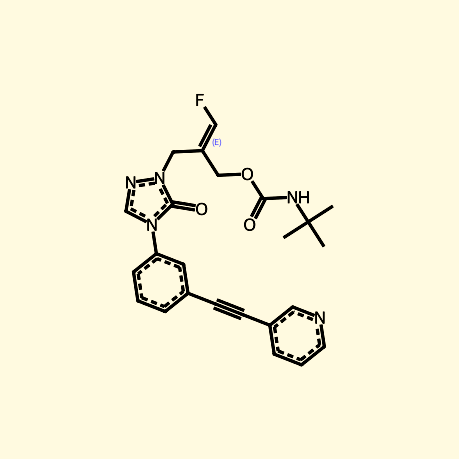 CC(C)(C)NC(=O)OC/C(=C/F)Cn1ncn(-c2cccc(C#Cc3cccnc3)c2)c1=O